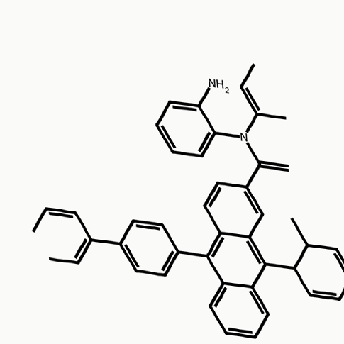 C=C(c1ccc2c(-c3ccc(C(/C=C\C)=C/C)cc3)c3ccccc3c(C3C=CC=CC3C)c2c1)N(/C(C)=C/C)c1ccccc1N